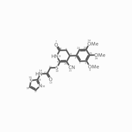 COc1cc(C2CC(=O)NC(SCC(=O)Nc3nccs3)=C2C#N)cc(OC)c1OC